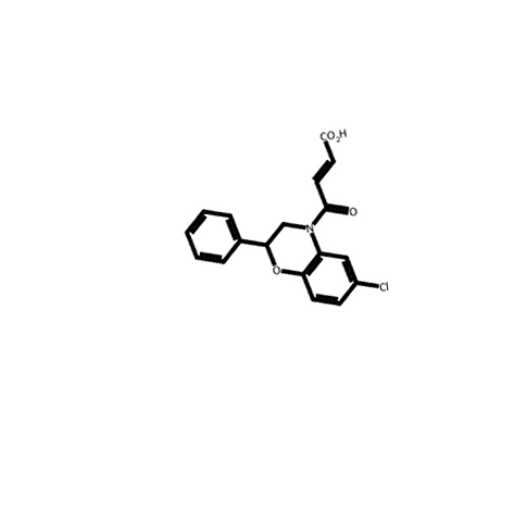 O=C(O)/C=C/C(=O)N1CC(c2ccccc2)Oc2ccc(Cl)cc21